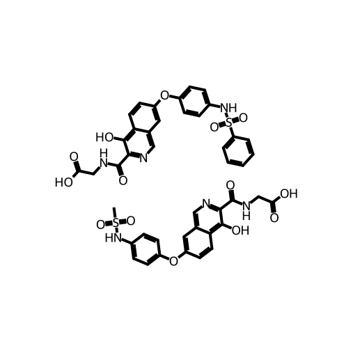 CS(=O)(=O)Nc1ccc(Oc2ccc3c(O)c(C(=O)NCC(=O)O)ncc3c2)cc1.O=C(O)CNC(=O)c1ncc2cc(Oc3ccc(NS(=O)(=O)c4ccccc4)cc3)ccc2c1O